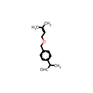 CC(C)=CCOCc1ccc(C(C)C=O)cc1